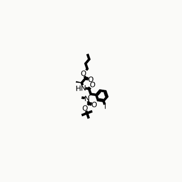 CCCCOC(=O)[C@H](C)NC(=O)[C@H](c1cccc(I)c1)N(C)C(=O)OC(C)(C)C